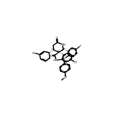 COc1ccc(Oc2ccc(F)cc2[C@H]2NC(=O)C[C@@H](C3C=C(Cl)C=CC3)[C@]23C(=O)Nc2cc(Cl)ccc23)cc1